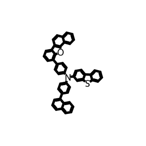 c1ccc2c(-c3ccc(N(c4ccc(-c5cccc6c5oc5c7ccccc7ccc65)cc4)c4ccc5c(c4)sc4ccccc45)cc3)cccc2c1